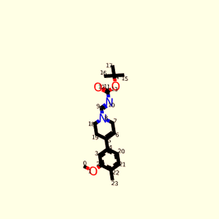 COc1cc(C2=CCN(C=NC(=O)OC(C)(C)C)CC2)ccc1C